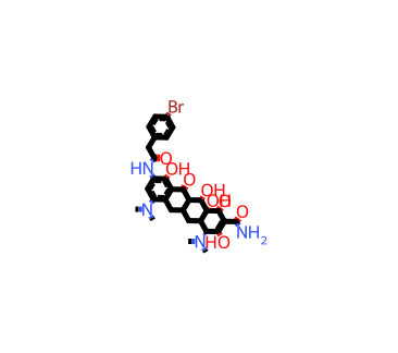 CN(C)c1cc(NC(=O)Cc2ccc(Br)cc2)c(O)c2c1CC1CC3[C@H](N(C)C)C(O)=C(C(N)=O)C(=O)[C@@]3(O)C(O)C1C2=O